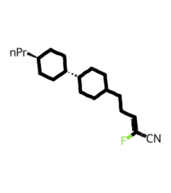 CCC[C@H]1CC[C@H](C2CCC(CC/C=C(\F)C#N)CC2)CC1